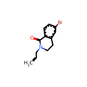 C=CCN1CCc2cc(Br)ccc2C1=O